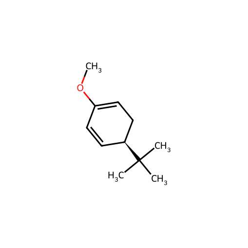 COC1=CC[C@@H](C(C)(C)C)C=C1